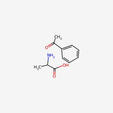 CC(=O)c1ccccc1.CC(N)C(=O)O